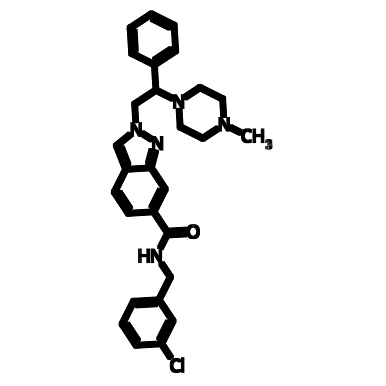 CN1CCN(C(Cn2cc3ccc(C(=O)NCc4cccc(Cl)c4)cc3n2)c2ccccc2)CC1